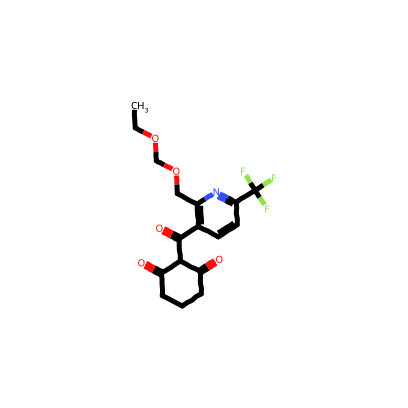 CCOCOCc1nc(C(F)(F)F)ccc1C(=O)C1C(=O)CCCC1=O